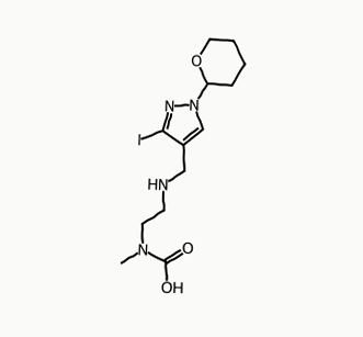 CN(CCNCc1cn(C2CCCCO2)nc1I)C(=O)O